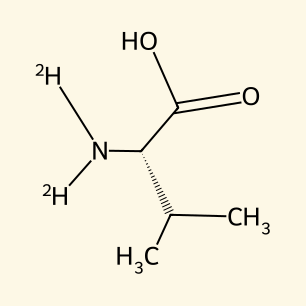 [2H]N([2H])[C@H](C(=O)O)C(C)C